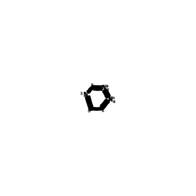 C1=NC=[N+]=[N+]=C1